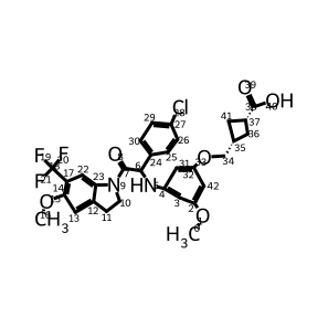 COc1cc(NC(C(=O)N2CCc3cc(OC)c(C(F)(F)F)cc32)c2ccc(Cl)cc2)cc(OC[C@H]2C[C@@H](C(=O)O)C2)c1